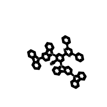 N#Cc1c(-n2c3ccccc3c3cc(-n4c5ccccc5c5ccccc54)ccc32)cc(-c2nc(-c3ccccc3)cc(-c3ccccc3)n2)cc1-n1c2ccccc2c2cc(-n3c4ccccc4c4ccccc43)ccc21